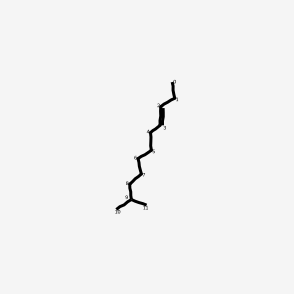 CCC=CCCCCCC(C)C